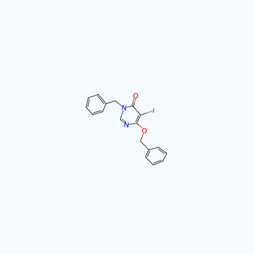 O=c1c(I)c(OCc2ccccc2)ncn1Cc1ccccc1